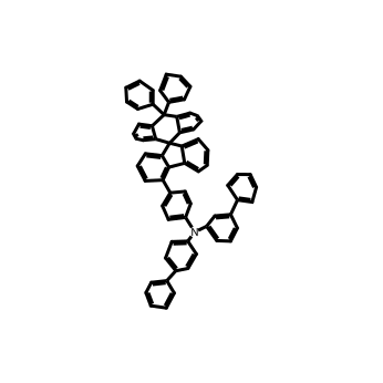 c1ccc(-c2ccc(N(c3ccc(-c4cccc5c4-c4ccccc4C54c5ccccc5C(c5ccccc5)(c5ccccc5)c5ccccc54)cc3)c3cccc(-c4ccccc4)c3)cc2)cc1